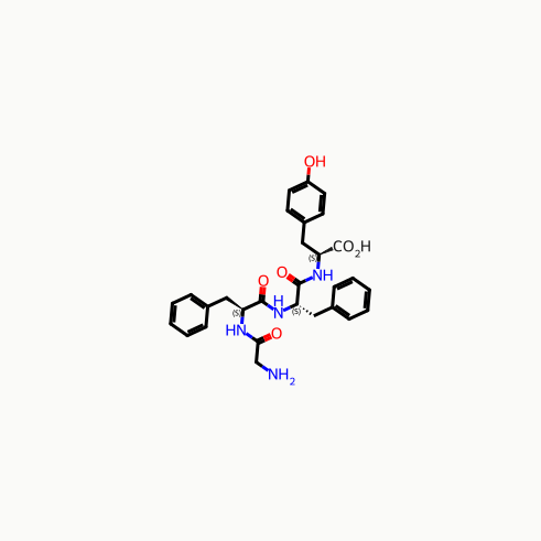 NCC(=O)N[C@@H](Cc1ccccc1)C(=O)N[C@@H](Cc1ccccc1)C(=O)N[C@@H](Cc1ccc(O)cc1)C(=O)O